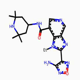 CCn1c(-c2nonc2N)nc2cncc(C(=O)NC3CC(C)(C)NC(C)(C)C3)c21